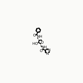 O=C(NC[C@@H]1CO[C@H](CNC(=O)c2cncnc2)[C@H]1O)c1ccccc1